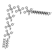 [O]=[Sb]([O-])([O-])[F].[O]=[Sb]([O-])([O-])[F].[O]=[Sb]([O-])([O-])[F].[O]=[Sb]([O-])([O-])[F].[O]=[Sb]([O-])([O-])[F].[O]=[Sb]([O-])([O-])[F].[SH3+].[SH3+].[SH3+].[SH3+].[SH3+].[SH3+].[SH3+].[SH3+].[SH3+].[SH3+].[SH3+].[SH3+]